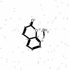 BF.O=c1ccc2ccccc2o1